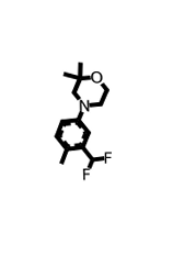 Cc1ccc(N2CCOC(C)(C)C2)cc1C(F)F